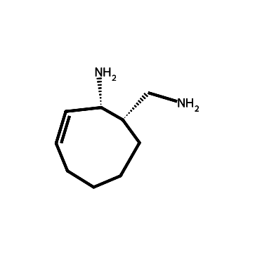 NC[C@@H]1CCCC/C=C\[C@@H]1N